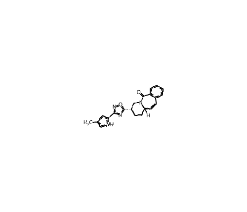 Cc1c[nH]c(-c2noc([C@H]3CC[C@H]4C=Cc5ccccc5C(=O)N4C3)n2)c1